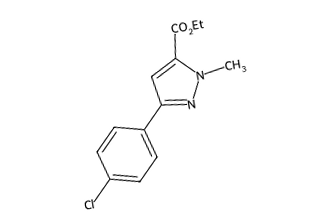 CCOC(=O)c1cc(-c2ccc(Cl)cc2)nn1C